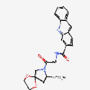 O=C(NCC(=O)N1CC2(CC1C(=O)O)OCCO2)c1ccc2cc3ccccc3nc2c1